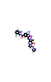 Cc1[nH]c(C=C2C(=O)Nc3ccc(C(=O)NCc4c(F)cccc4F)cc32)c(C)c1C(=O)N1CCC[C@@H]1CN1CCCC1